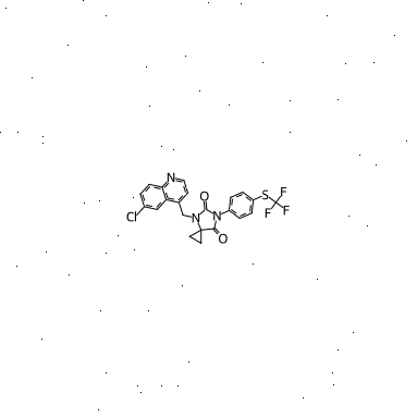 O=C1N(c2ccc(SC(F)(F)F)cc2)C(=O)C2(CC2)N1Cc1ccnc2ccc(Cl)cc12